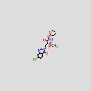 CS(=O)(=O)C(CCn1cnc2cc(Br)ccc2c1=O)C(=O)NOC1CCCCO1